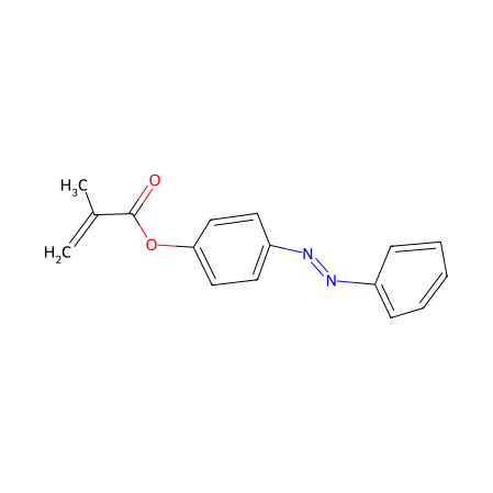 C=C(C)C(=O)Oc1ccc(N=Nc2ccccc2)cc1